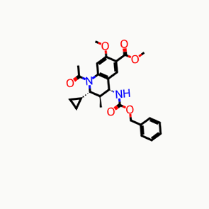 COC(=O)c1cc2c(cc1OC)N(C(C)=O)[C@@H](C1CC1)[C@H](C)[C@H]2NC(=O)OCc1ccccc1